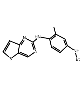 CCNc1ccc(Nc2ncc3sccc3n2)c(C)c1